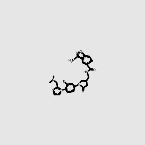 CN(C)Cc1nccn1-c1ccc(N2CC(CNC(=O)c3ccc4onc(N)c4c3)CC2=O)cc1F